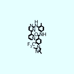 Cc1cn(-c2ccc(C(=O)Nc3ccc(C)c(Nc4nccc(-c5cccnc5)n4)c3)cc2C(F)(F)F)c(C)n1